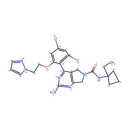 CCC1(NC(=O)N2Cc3nc(N)nc(-c4c(Cl)cc(Cl)cc4OCCn4cccn4)c3C2)CCC1